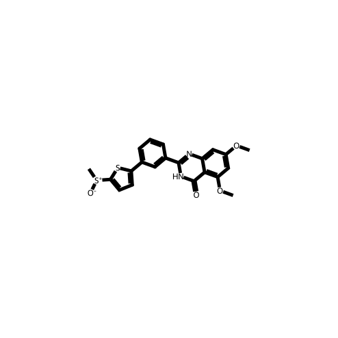 COc1cc(OC)c2c(=O)[nH]c(-c3cccc(-c4ccc([S+](C)[O-])s4)c3)nc2c1